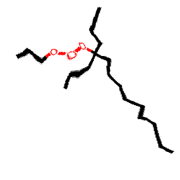 CCCCCCCCCC(CCC)(CCC)OOOCCC